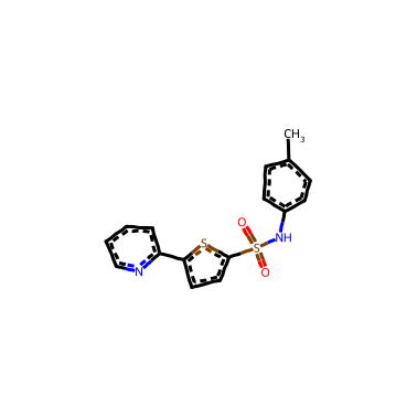 Cc1ccc(NS(=O)(=O)c2ccc(-c3ccccn3)s2)cc1